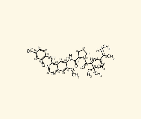 CNC(C)C(=O)NC(C(=O)N1CCCC1C(=O)Nc1cc2c(Nc3ccc(Br)cc3Cl)ncnc2cc1OC)C(C)(C)C